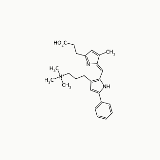 CC1=CC(CCC(=O)O)=N/C1=C\c1[nH]c(-c2ccccc2)cc1CCC[N+](C)(C)C